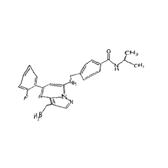 Bc1cnn2c(NCc3ccc(C(=O)NC(C)C)cc3)cc(-c3ccccc3F)nc12